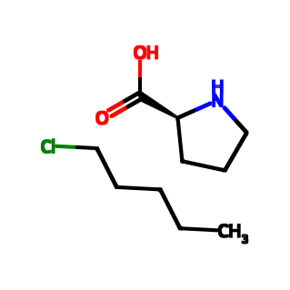 CCCCCCl.O=C(O)[C@@H]1CCCN1